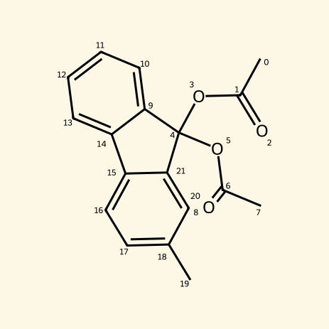 CC(=O)OC1(OC(C)=O)c2ccccc2-c2ccc(C)cc21